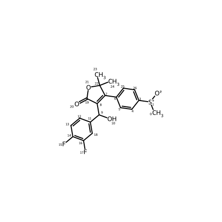 C[S+]([O-])c1ccc(C2=C(C(O)c3ccc(F)c(F)c3)C(=O)OC2(C)C)cc1